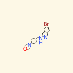 Brc1ccc2cnc(NCC3CCC(N4CCOCC4)CC3)cc2c1